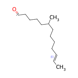 C/C=C/CCCCC(C)CCCC[C]=O